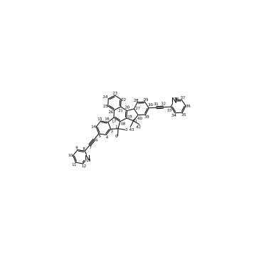 CC1(C)c2cc(C#Cc3ccccn3)ccc2-c2c1c1c(c3ccccc23)C2C=CC(C#Cc3ccccn3)=CC2C1(C)C